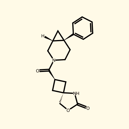 O=C1N[C@]2(CO1)C[C@H](C(=O)N1CC[C@@]3(c4ccccc4)C[C@H]3C1)C2